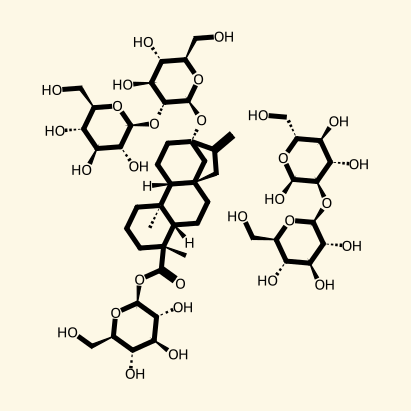 C=C1C[C@@]23CC[C@H]4[C@@](C)(CCC[C@@]4(C)C(=O)O[C@@H]4O[C@H](CO)[C@@H](O)[C@H](O)[C@H]4O)[C@@H]2CC[C@]1(O[C@@H]1O[C@H](CO)[C@@H](O)[C@H](O)[C@H]1O[C@@H]1O[C@H](CO)[C@@H](O)[C@H](O)[C@H]1O)C3.OC[C@H]1O[C@@H](O[C@@H]2[C@@H](O)[C@H](O)[C@@H](CO)O[C@@H]2O)[C@H](O)[C@@H](O)[C@@H]1O